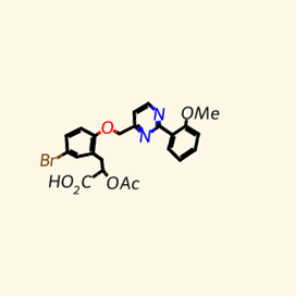 COc1ccccc1-c1nccc(COc2ccc(Br)cc2CC(OC(C)=O)C(=O)O)n1